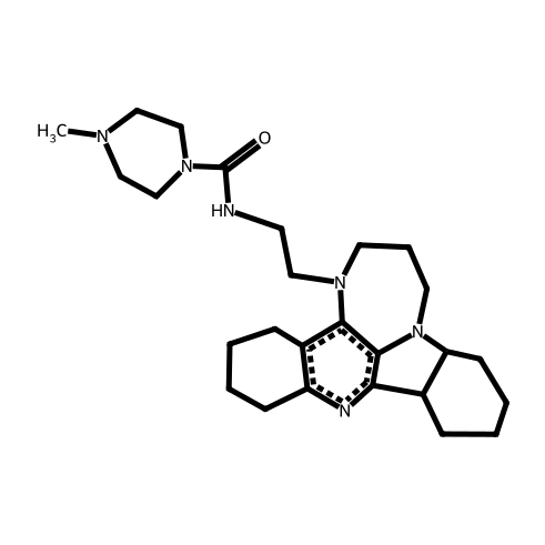 CN1CCN(C(=O)NCCN2CCCN3c4c(nc5c(c42)CCCC5)C2CCCCC23)CC1